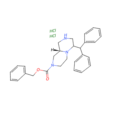 Cl.Cl.O=C(OCc1ccccc1)N1CCN2C(C(c3ccccc3)c3ccccc3)CNC[C@H]2C1